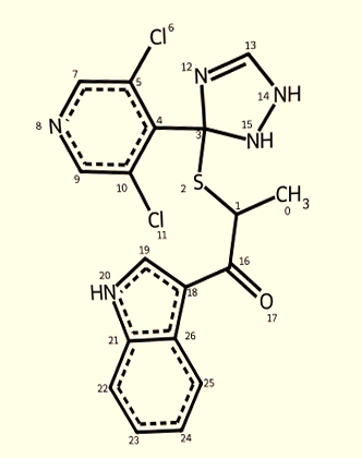 CC(SC1(c2c(Cl)cncc2Cl)N=CNN1)C(=O)c1c[nH]c2ccccc12